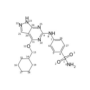 NS(=O)(=O)c1ccc(Nc2nc(OCC3CCCCC3)c3cn[nH]c3n2)cc1